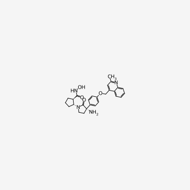 Cc1cc(COc2ccc([C@@]3(N)CCN([C@@H]4CCC[C@H]4C(=O)NO)C3=O)cc2)c2ccccc2n1